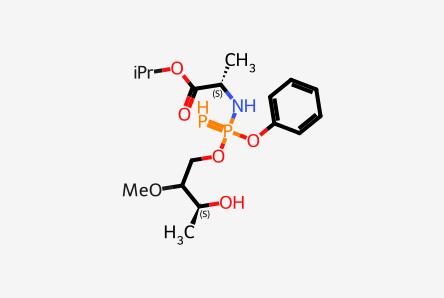 COC(COP(=P)(N[C@@H](C)C(=O)OC(C)C)Oc1ccccc1)[C@H](C)O